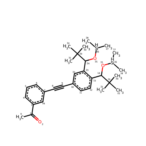 CC(=O)c1cccc(C#Cc2ccc(C(O[SiH](C)C)C(C)(C)C)c(C(O[SiH](C)C)C(C)(C)C)c2)c1